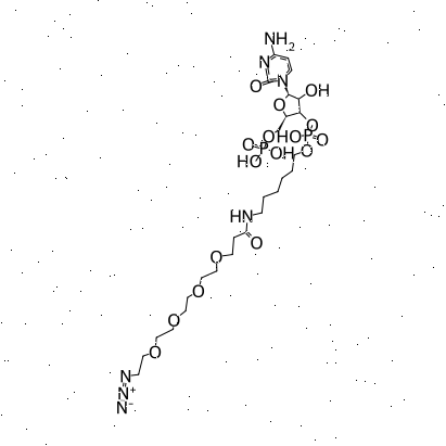 [N-]=[N+]=NCCOCCOCCOCCOCCC(=O)NCCCCCCOP(=O)(O)OC1C(O)[C@H](n2ccc(N)nc2=O)O[C@@H]1COP(=O)(O)O